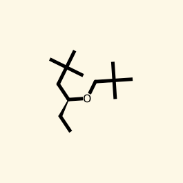 CC[C@@H](CC(C)(C)C)OCC(C)(C)C